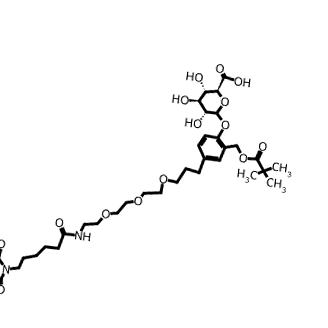 CC(C)(C)C(=O)OCc1cc(CCCOCCOCCOCCNC(=O)CCCCCN2C(=O)C=CC2=O)ccc1OC1O[C@H](C(=O)O)[C@@H](O)[C@H](O)[C@H]1O